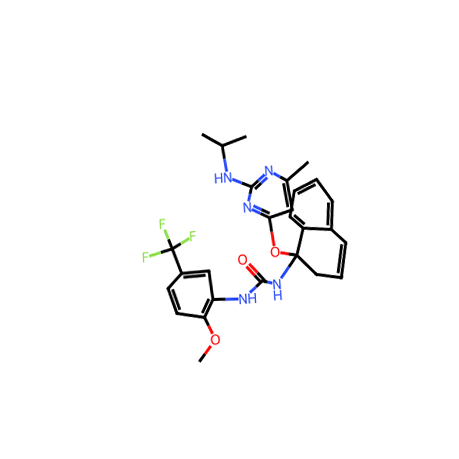 COc1ccc(C(F)(F)F)cc1NC(=O)NC1(Oc2cc(C)nc(NC(C)C)n2)CC=Cc2ccccc21